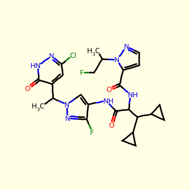 CC(c1cc(Cl)n[nH]c1=O)n1cc(NC(=O)C(NC(=O)c2ccnn2C(C)CF)C(C2CC2)C2CC2)c(F)n1